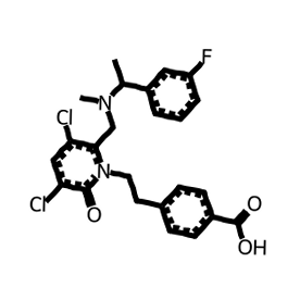 CC(c1cccc(F)c1)N(C)Cc1c(Cl)cc(Cl)c(=O)n1CCc1ccc(C(=O)O)cc1